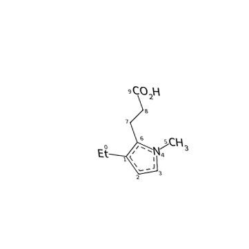 CCc1ccn(C)c1CCC(=O)O